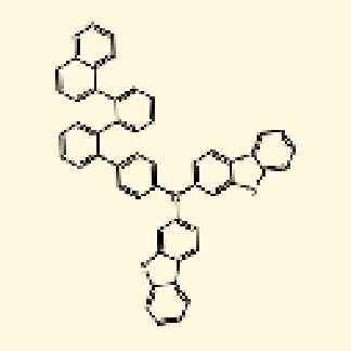 c1ccc(-c2ccccc2-c2cccc3ccccc23)c(-c2ccc(N(c3ccc4c(c3)sc3ccccc34)c3ccc4c(c3)sc3ccccc34)cc2)c1